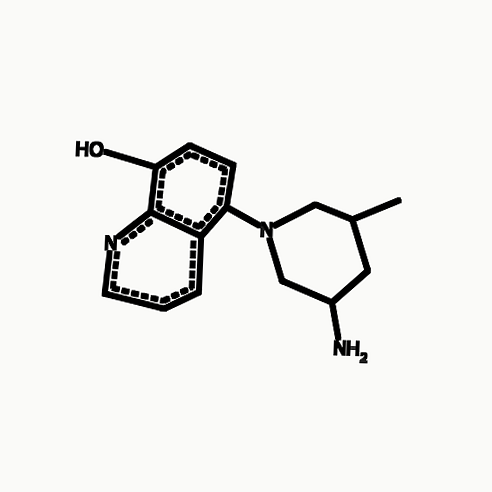 CC1CC(N)CN(c2ccc(O)c3ncccc23)C1